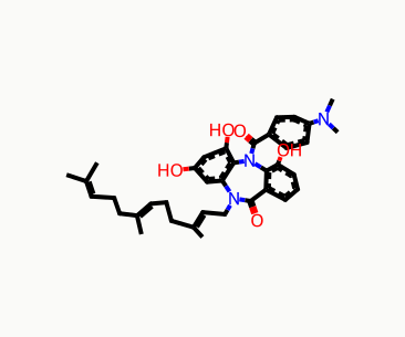 CC(C)=CCC/C(C)=C/CC/C(C)=C/CN1C(=O)c2cccc(O)c2N(C(=O)c2ccc(N(C)C)cc2)c2c(O)cc(O)cc21